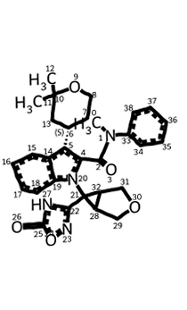 CN(C(=O)c1c([C@H]2CCOC(C)(C)C2)c2ccccc2n1C1(c2noc(=O)[nH]2)C2COCC21)c1ccccc1